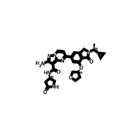 C[C@@H](C1CC1)N1Cc2cc(-c3ccn4nc(N)c(C(=O)N[C@H]5CNC(=O)C5)c4n3)cc(O[C@@H]3CCOC3)c2C1=O